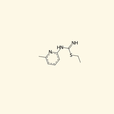 CCSC(=N)Nc1cccc(C)n1